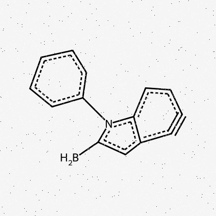 Bc1cc2c#cccc2n1-c1ccccc1